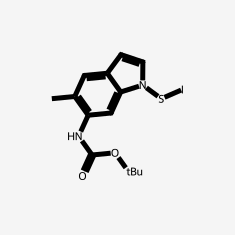 Cc1cc2ccn(SI)c2cc1NC(=O)OC(C)(C)C